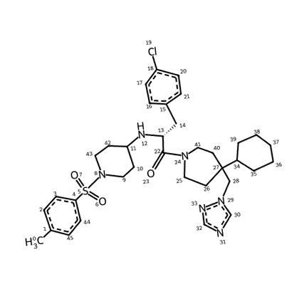 Cc1ccc(S(=O)(=O)N2CCC(N[C@H](Cc3ccc(Cl)cc3)C(=O)N3CCC(Cn4cncn4)(C4CCCCC4)CC3)CC2)cc1